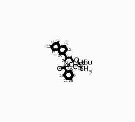 CN(CC(CCO[Si](C)(C)C(C)(C)C)c1ccc2ccccc2c1)C(=O)c1ccccc1